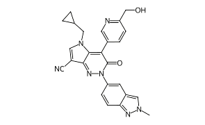 Cn1cc2cc(-n3nc4c(C#N)cn(CC5CC5)c4c(-c4ccc(CO)nc4)c3=O)ccc2n1